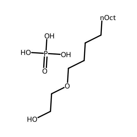 CCCCCCCCCCCCOCCO.O=P(O)(O)O